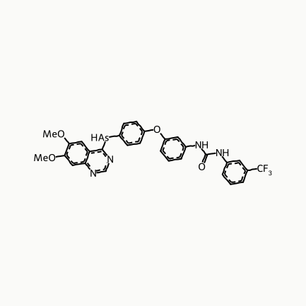 COc1cc2ncnc([AsH]c3ccc(Oc4cccc(NC(=O)Nc5cccc(C(F)(F)F)c5)c4)cc3)c2cc1OC